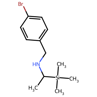 CC(NCc1ccc(Br)cc1)[Si](C)(C)C